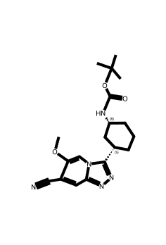 COc1cn2c([C@H]3CCC[C@@H](NC(=O)OC(C)(C)C)C3)nnc2cc1C#N